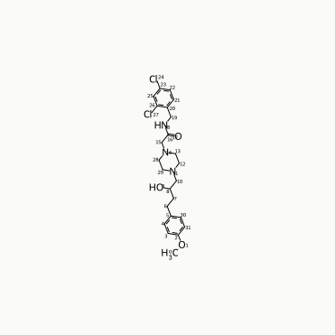 COc1ccc(CCC(O)CN2CCN(CC(=O)NCc3ccc(Cl)cc3Cl)CC2)cc1